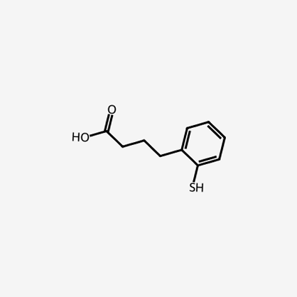 O=C(O)CCCc1ccccc1S